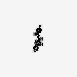 C[C@H](NC(=O)N1CCOCC1)C(=O)NCCNc1ccc(F)cc1